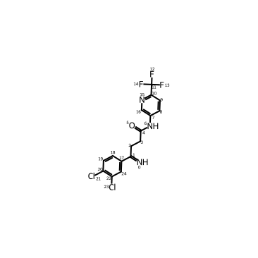 N=C(CCC(=O)Nc1ccc(C(F)(F)F)nc1)c1ccc(Cl)c(Cl)c1